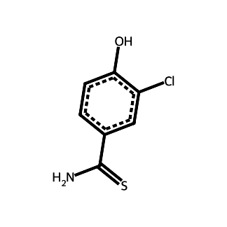 NC(=S)c1ccc(O)c(Cl)c1